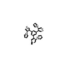 C#C/C=C(\C(=C/C)n1cccc1)c1cc(-c2cscc2-n2cccc2)cc(-c2cscc2-n2cccc2)c1